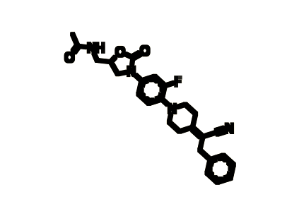 CC(=O)NCC1CN(c2ccc(N3CCC(=C(C#N)Cc4ccccc4)CC3)c(F)c2)C(=O)O1